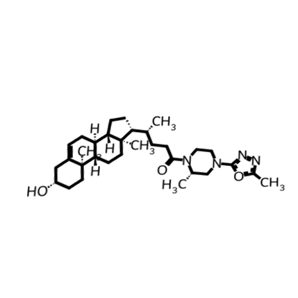 Cc1nnc(N2CCN(C(=O)CC[C@@H](C)[C@H]3CC[C@H]4[C@@H]5CC=C6C[C@@H](O)CC[C@]6(C)[C@H]5CC[C@]34C)[C@@H](C)C2)o1